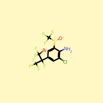 Nc1c(Cl)cc(C(F)(C(F)(F)F)C(F)(F)Br)cc1[S+]([O-])C(F)(F)F